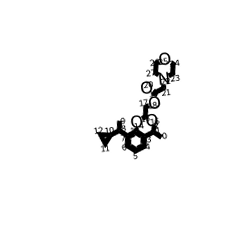 CC(C)c1cccc(C(C)C2CC2)c1OC(=O)COC(=O)CN1CCOCC1